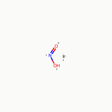 O=NO.[Ir]